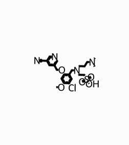 COc1cc(OCc2cncc(C#N)c2)c(CN(CCCN(C)C)CCS(=O)(=O)O)cc1Cl